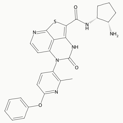 Cc1nc(Oc2ccccc2)ccc1N1C(=O)Nc2c(C(=O)N[C@@H]3CCC[C@@H]3N)sc3nccc1c23